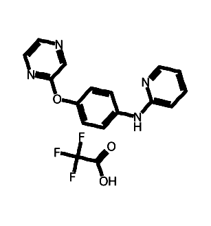 O=C(O)C(F)(F)F.c1ccc(Nc2ccc(Oc3cnccn3)cc2)nc1